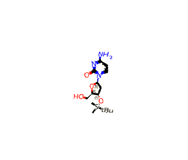 CC(C)(C)[Si](C)(C)O[C@H]1C[C@H](n2ccc(N)nc2=O)O[C@@H]1CO